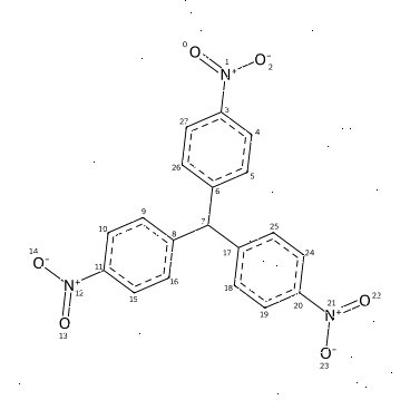 O=[N+]([O-])c1ccc(C(c2ccc([N+](=O)[O-])cc2)c2ccc([N+](=O)[O-])cc2)cc1